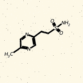 Cc1cnc(CCS(N)(=O)=O)cn1